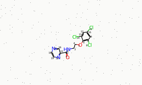 O=C(NCCOc1c(Cl)cc(Cl)cc1Cl)c1cnccn1